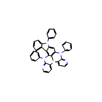 c1ccc(N2c3cc4c(c5c3B(c3cccnc32)c2cccnc2N5c2ccccc2)c2ccccc2n4-c2ccccc2)cc1